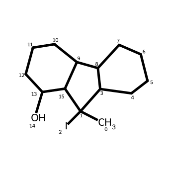 CC1(I)C2CCCCC2C2CCCC(O)C21